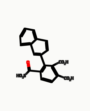 O=C(O)c1ccc(C(=O)S(=O)(=O)O)c(-c2ccc3ccccc3c2)c1C(=O)O